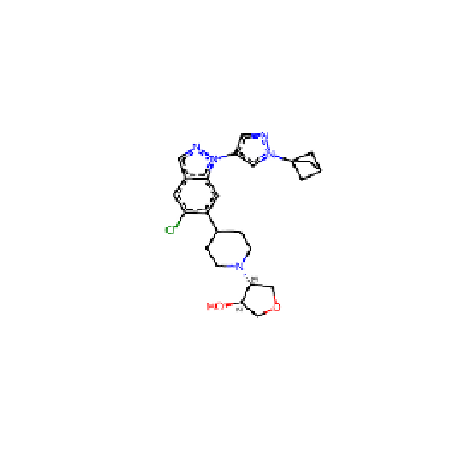 O[C@@H]1COC[C@H]1N1CCC(c2cc3c(cnn3-c3cnn(C45CC(C4)C5)c3)cc2Cl)CC1